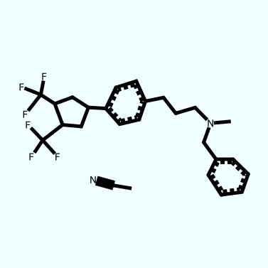 CC#N.CN(CCCc1ccc(C2CC(C(F)(F)F)C(C(F)(F)F)C2)cc1)Cc1ccccc1